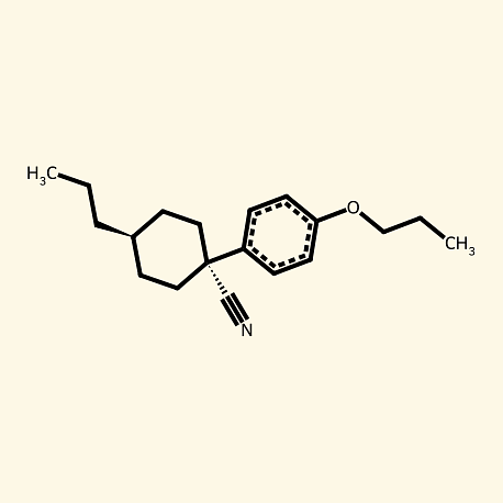 CCCOc1ccc([C@]2(C#N)CC[C@H](CCC)CC2)cc1